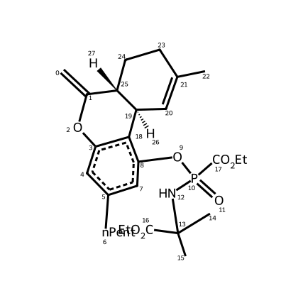 C=C1Oc2cc(CCCCC)cc(OP(=O)(NC(C)(C)C(=O)OCC)C(=O)OCC)c2[C@@H]2C=C(C)CC[C@@H]12